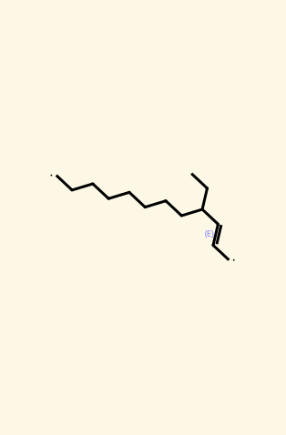 [CH2]/C=C/C(CC)CCCCCCC[CH2]